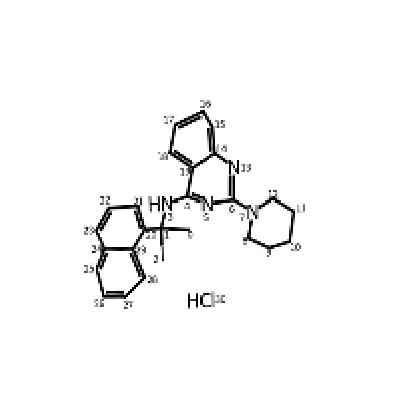 CC(I)(Nc1nc(N2CCCCC2)nc2ccccc12)c1cccc2ccccc12.Cl